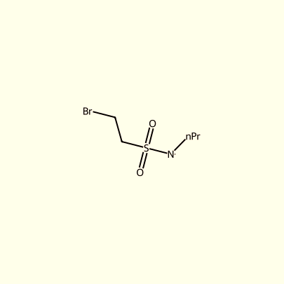 CCC[N]S(=O)(=O)CCBr